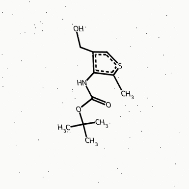 Cc1scc(CO)c1NC(=O)OC(C)(C)C